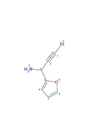 CCC#CC(N)c1ccco1